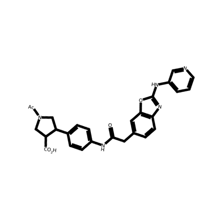 CC(=O)N1CC(C(=O)O)C(c2ccc(NC(=O)Cc3ccc4nc(Nc5cccnc5)oc4c3)cc2)C1